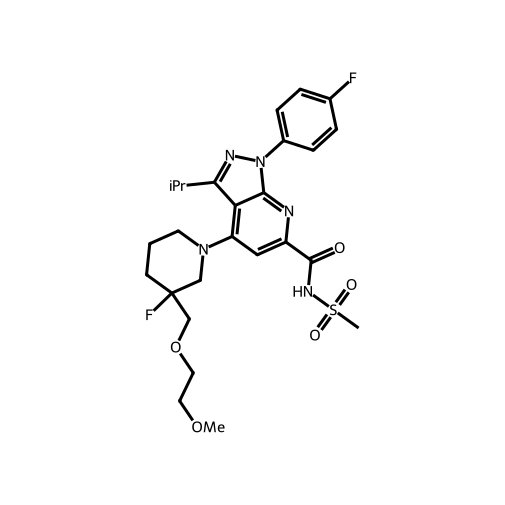 COCCOCC1(F)CCCN(c2cc(C(=O)NS(C)(=O)=O)nc3c2c(C(C)C)nn3-c2ccc(F)cc2)C1